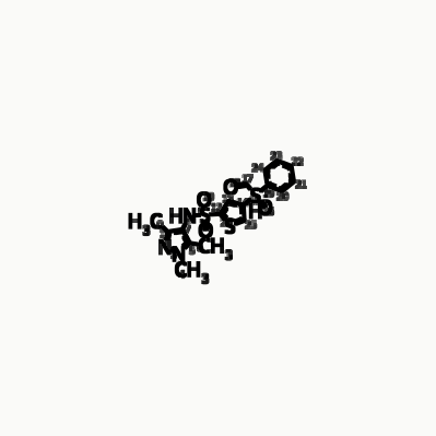 Cc1nn(C)c(C)c1NS(=O)(=O)c1cc([SH](=O)(C=O)c2ccccc2)cs1